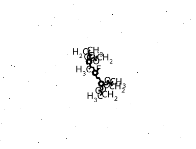 C=CC(=O)Oc1cc(C(C)Cc2ccc(/C=C/c3ccc(OC(=O)C(=C)C)c(OC(=O)C(=C)C)c3)cc2F)ccc1OC(=O)C(=C)C